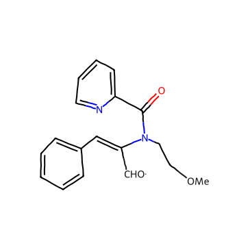 COCCN(C(=O)c1ccccn1)C([C]=O)=Cc1ccccc1